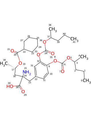 CCCC(C)OC(=O)Oc1ccc(CC(N)(C[C@H](C)OC(=O)C2CCCCC2)C(=O)O)cc1OC(=O)OC(C)CCC